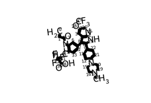 C=CC(=O)Nc1cc(-c2c(-c3ccc(N4CCN(C)CC4)cc3)[nH]c3ncc(OC(F)(F)F)cc23)ccc1C.O=C(O)C(F)(F)F